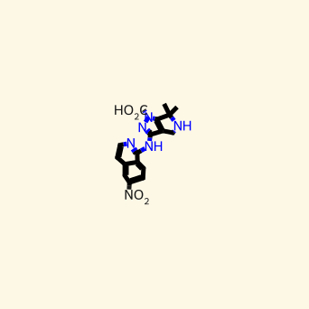 CC1(C)NCc2c(Nc3nccc4cc([N+](=O)[O-])ccc34)nn(C(=O)O)c21